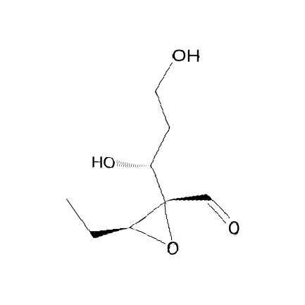 CC[C@@H]1O[C@@]1(C=O)[C@H](O)CCO